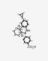 O=C(O)c1ccc([C@H]2Nc3ccc(C4CC4)cc3[C@@H]3OCCC[C@H]23)cc1